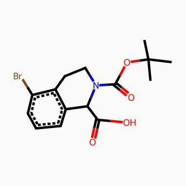 CC(C)(C)OC(=O)N1CCc2c(Br)cccc2C1C(=O)O